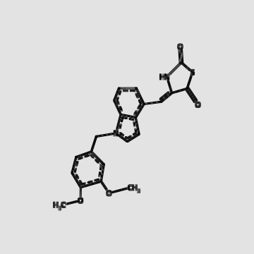 COc1ccc(Cn2ccc3c(C=C4NC(=O)SC4=O)cccc32)cc1OC